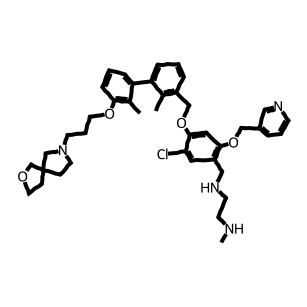 CNCCNCc1cc(Cl)c(OCc2cccc(-c3cccc(OCCCN4CCC5(CCOC5)C4)c3C)c2C)cc1OCc1cccnc1